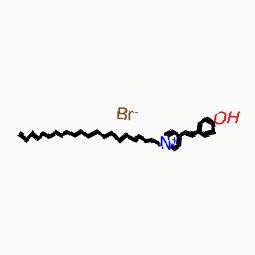 CCCCCCCCCCCCCCCCCCCCCC[n+]1ccc(/C=C/c2ccc(O)cc2)cc1.[Br-]